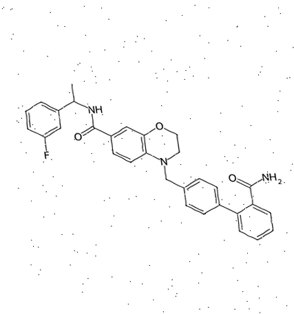 CC(NC(=O)c1ccc2c(c1)OCCN2Cc1ccc(-c2ccccc2C(N)=O)cc1)c1cccc(F)c1